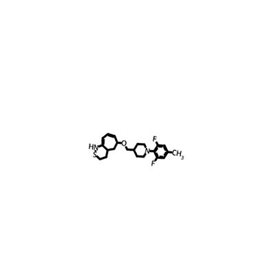 Cc1cc(F)c(N2CCC(COC3C=CC=C4NSCCC4C3)CC2)c(F)c1